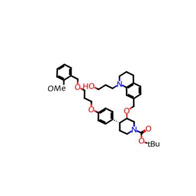 COc1ccccc1COCCCOc1ccc([C@H]2CCN(C(=O)OC(C)(C)C)C[C@@H]2OCc2ccc3c(c2)N(CCCO)CCC3)cc1